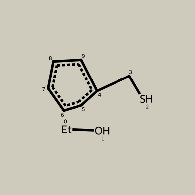 CCO.SCc1ccccc1